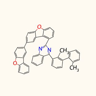 Cc1ccccc1-c1cccc(-c2nc(-c3cccc4oc5ccc(-c6ccc7oc8ccccc8c7c6)cc5c34)nc3ccccc23)c1C